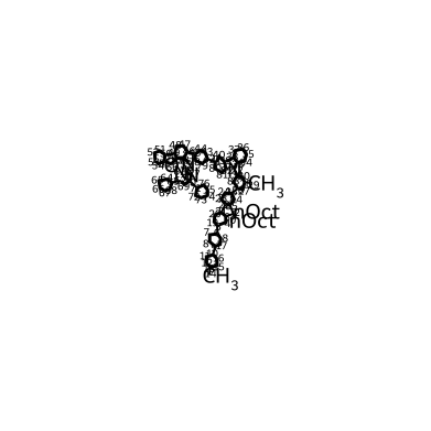 CCCCCCCCC1(CCCCCCCC)c2cc(-c3ccc(-c4ccc(C)cc4)cc3)ccc2-c2ccc(-c3cc(C)cc(-n4c5ccccc5c5cc(-c6ccc7c8ccc9c%10ccccc%10oc9c8n(-c8nc(-c9ccccc9)cc(-c9ccccc9)n8)c7c6)ccc54)c3)cc21